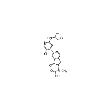 C[C@H](C(=O)O)N1Cc2ccc(-c3nc(NC4CCOC4)ncc3Cl)cc2C1=O